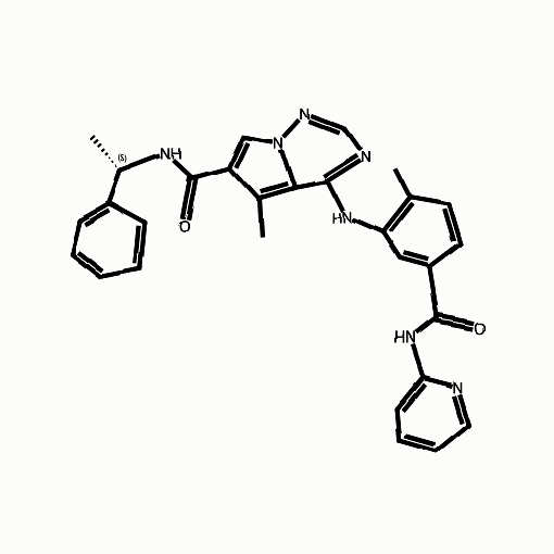 Cc1ccc(C(=O)Nc2ccccn2)cc1Nc1ncnn2cc(C(=O)N[C@@H](C)c3ccccc3)c(C)c12